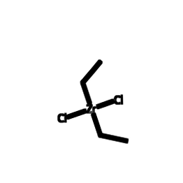 C[CH2][Zr]([Cl])([Cl])[CH2]C